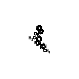 Cc1nsc(-c2nnc3n2CCN(C(=O)N2CCc4ccccc42)[C@@H]3C)n1